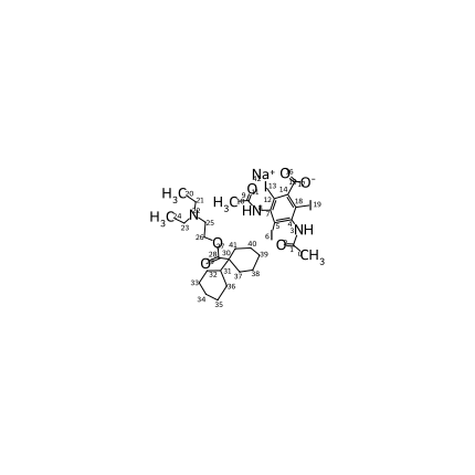 CC(=O)Nc1c(I)c(NC(C)=O)c(I)c(C(=O)[O-])c1I.CCN(CC)CCOC(=O)C1(C2CCCCC2)CCCCC1.[Na+]